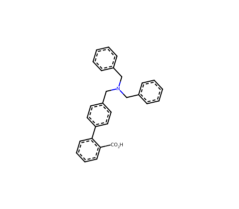 O=C(O)c1ccccc1-c1ccc(CN(Cc2ccccc2)Cc2ccccc2)cc1